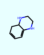 C1=CCC2NCCNC2=C1